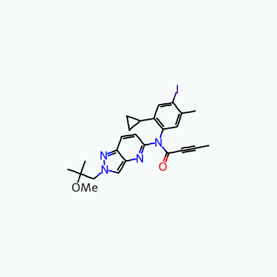 CC#CC(=O)N(c1ccc2nn(CC(C)(C)OC)cc2n1)c1cc(C)c(I)cc1C1CC1